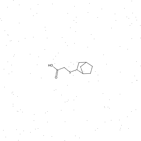 O=C(O)CSC1CC2CCC1C2